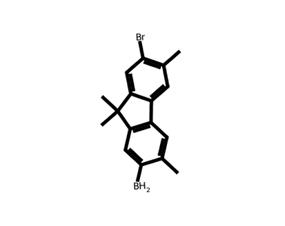 Bc1cc2c(cc1C)-c1cc(C)c(Br)cc1C2(C)C